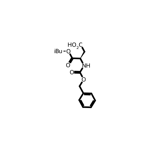 CC[C@@H](C)OC(=O)[C@@H](CC(=O)O)NC(=O)OCc1ccccc1